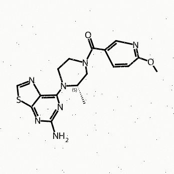 COc1ccc(C(=O)N2CCN(c3nc(N)nc4scnc34)[C@@H](C)C2)cn1